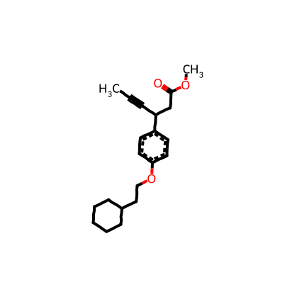 CC#CC(CC(=O)OC)c1ccc(OCCC2CCCCC2)cc1